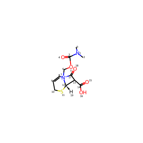 CN(C)C(=O)OC[N+]12C=CCS[C@H]1C(C(=O)O)C2=O